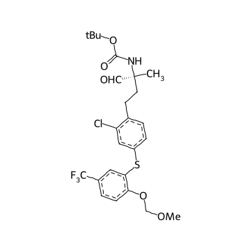 COCOc1ccc(C(F)(F)F)cc1Sc1ccc(CC[C@@](C)(C=O)NC(=O)OC(C)(C)C)c(Cl)c1